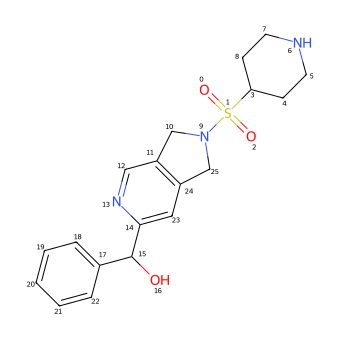 O=S(=O)(C1CCNCC1)N1Cc2cnc(C(O)c3ccccc3)cc2C1